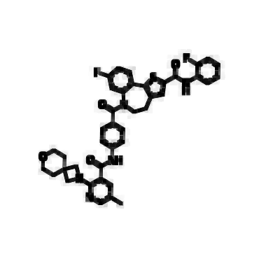 Cc1cnc(N2CC3(CCOCC3)C2)c(C(=O)Nc2ccc(C(=O)N3CCc4cc(C(=O)Nc5ccccc5F)sc4-c4ccc(F)cc43)cc2)c1